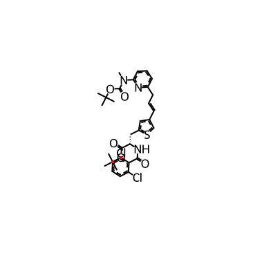 CN(C(=O)OC(C)(C)C)c1cccc(C/C=C/c2csc(C[C@H](NC(=O)c3c(Cl)cccc3Cl)C(=O)OC(C)(C)C)c2)n1